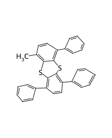 Cc1ccc(-c2ccccc2)c2c1Sc1c(-c3ccccc3)ccc(-c3ccccc3)c1S2